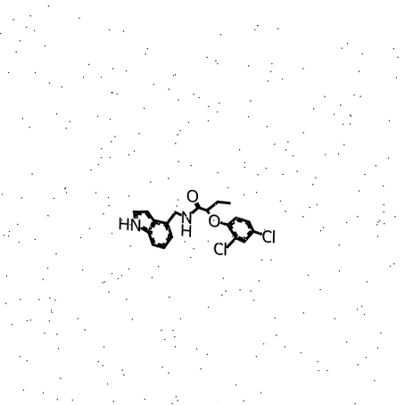 CCC(Oc1ccc(Cl)cc1Cl)C(=O)NCc1cccc2[nH]ccc12